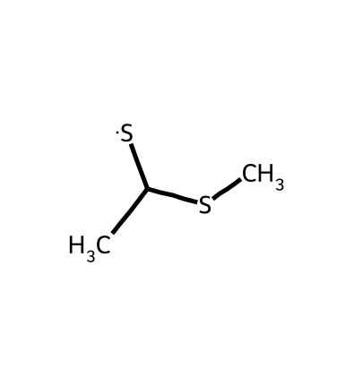 CSC(C)[S]